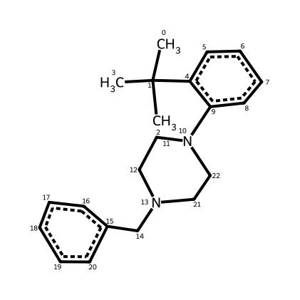 CC(C)(C)c1ccccc1N1CCN(Cc2ccccc2)CC1